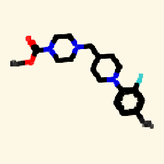 CC(C)(C)OC(=O)N1CCN(CC2CCN(c3ccc([N+](=O)[O-])cc3F)CC2)CC1